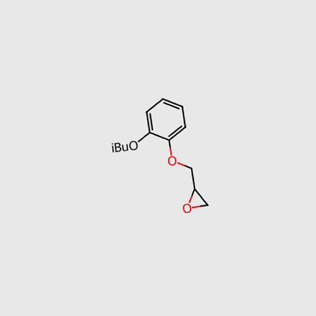 CC(C)COc1ccccc1OCC1CO1